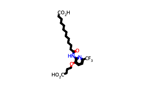 O=C(O)CCCCCCCCCCCC(=O)Nc1nc(C(F)(F)F)ccc1OCCCC(=O)O